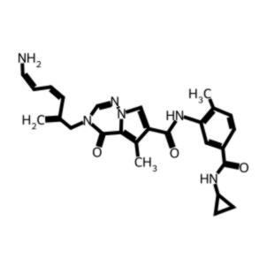 C=C(/C=C\C=C/N)Cn1cnn2cc(C(=O)Nc3cc(C(=O)NC4CC4)ccc3C)c(C)c2c1=O